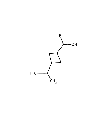 CC(C)C1CC(C(O)F)C1